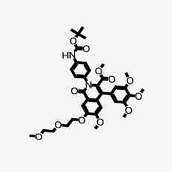 COCCOCCOc1cc2c(=O)n(-c3ccc(NC(=O)OC(C)(C)C)cc3)c(C(=O)OC)c(-c3cc(OC)c(OC)c(OC)c3)c2cc1OC